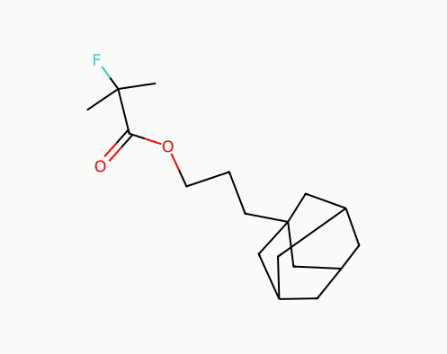 CC(C)(F)C(=O)OCCCC12CC3CC(CC(C3)C1)C2